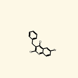 Clc1nc2ccc(Br)cc2c(Cl)c1Cc1ccccc1